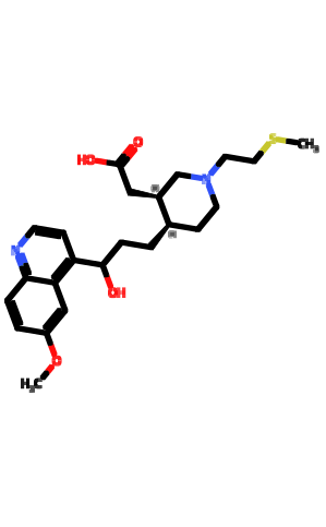 COc1ccc2nccc(C(O)CC[C@@H]3CCN(CCSC)C[C@@H]3CC(=O)O)c2c1